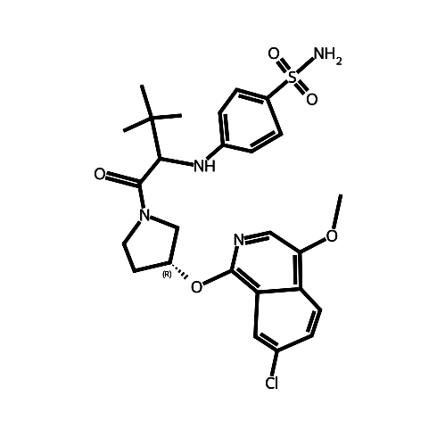 COc1cnc(O[C@@H]2CCN(C(=O)C(Nc3ccc(S(N)(=O)=O)cc3)C(C)(C)C)C2)c2cc(Cl)ccc12